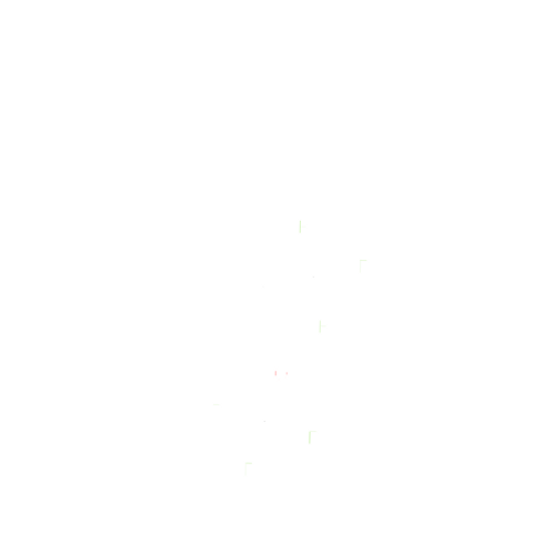 Cc1ccc(-c2cccc(OC(F)(F)F)c2C(F)(F)F)cc1